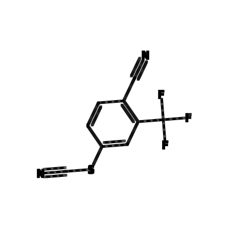 N#CSc1ccc(C#N)c(C(F)(F)F)c1